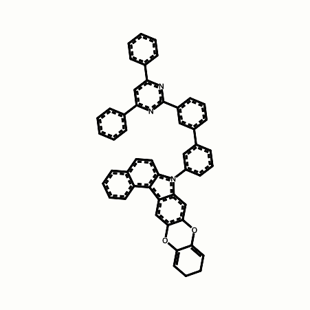 C1=C2Oc3cc4c5c6ccccc6ccc5n(-c5cccc(-c6cccc(-c7nc(-c8ccccc8)cc(-c8ccccc8)n7)c6)c5)c4cc3OC2=CCC1